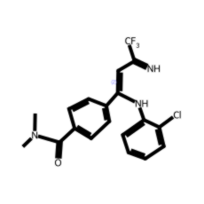 CN(C)C(=O)c1ccc(/C(=C/C(=N)C(F)(F)F)Nc2ccccc2Cl)cc1